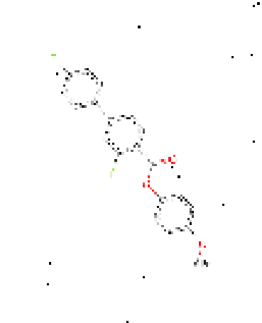 CCCOc1ccc(OC(=O)c2ccc(-c3ccc(F)cc3)cc2F)cc1